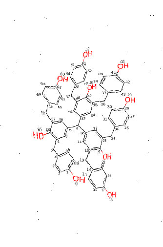 Oc1ccc(Cc2cc(C(c3cc(Cc4ccc(O)cc4)c(O)c(Cc4ccc(O)cc4)c3)c3cc(Cc4ccc(O)cc4)c(O)c(Cc4ccc(O)cc4)c3)cc(Cc3ccc(O)cc3)c2O)cc1